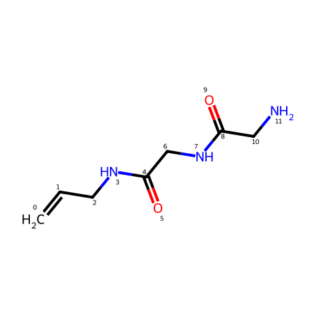 C=CCNC(=O)CNC(=O)CN